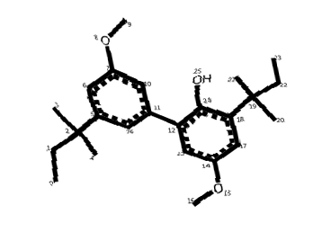 CCC(C)(C)c1cc(OC)cc(-c2cc(OC)cc(C(C)(C)CC)c2O)c1